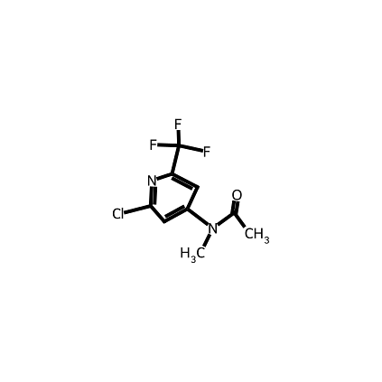 CC(=O)N(C)c1cc(Cl)nc(C(F)(F)F)c1